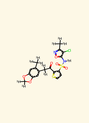 [2H]N(c1onc(C([2H])([2H])[2H])c1Cl)S(=O)(=O)c1ccsc1C(=O)C([2H])([2H])c1cc2c(cc1C([2H])([2H])[2H])OC([2H])([2H])O2